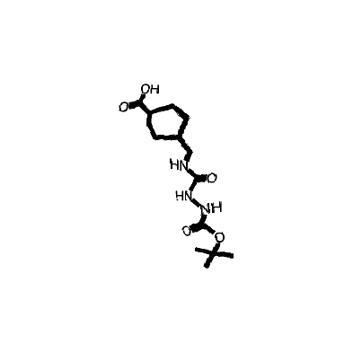 CC(C)(C)OC(=O)NNC(=O)NCC1CCC(C(=O)O)CC1